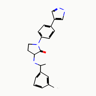 COc1cccc(C(C)NC2CCN(c3ccc(-c4cn[nH]c4)cc3)C2=O)c1